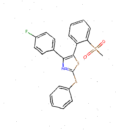 CS(=O)(=O)c1ccccc1-c1sc(Sc2ccccc2)nc1-c1ccc(F)cc1